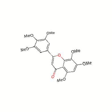 COc1cc(-c2cc(=O)c3c(OC)cc(OC)c(OC)c3o2)cc(OC)c1OC